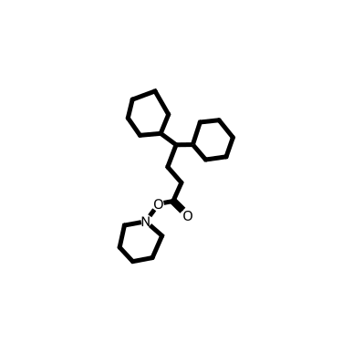 O=C(CCC(C1CCCCC1)C1CCCCC1)ON1CCCCC1